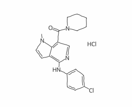 Cl.Cn1ccc2c(Nc3ccc(Cl)cc3)ncc(C(=O)N3CCCCC3)c21